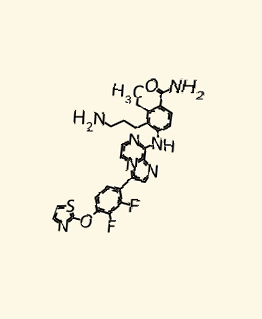 CCc1c(C(N)=O)ccc(Nc2nccn3c(-c4ccc(Oc5nccs5)c(F)c4F)cnc23)c1CCCN